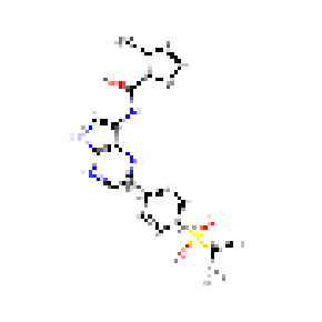 CC1=C(C(=O)Nc2c[nH]c3ncc(-c4ccc(S(=O)(=O)C(C)C)cc4)nc23)CC=C1